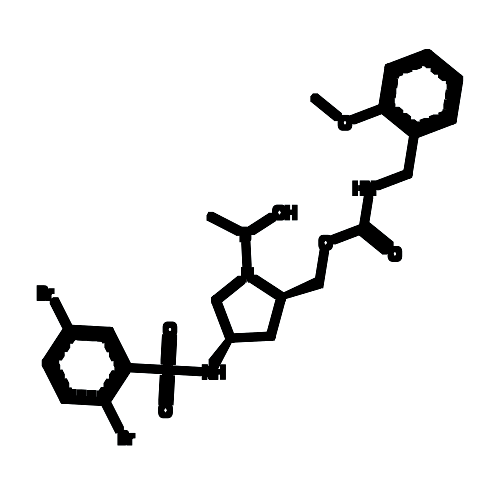 COc1ccccc1CNC(=O)OC[C@H]1C[C@@H](NS(=O)(=O)c2cc(Br)ccc2Br)CN1B(C)O